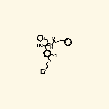 O=C(N[C@H](CN1CCCC1)C(O)c1ccc(OCCN2CCC2)c(Cl)c1)OCc1ccccc1